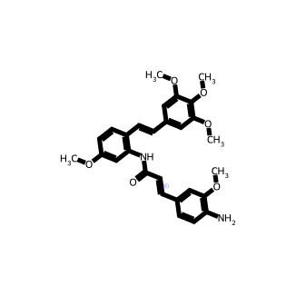 COc1ccc(C=Cc2cc(OC)c(OC)c(OC)c2)c(NC(=O)/C=C/c2ccc(N)c(OC)c2)c1